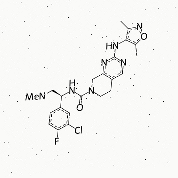 CNC[C@@H](NC(=O)N1CCc2cnc(Nc3c(C)noc3C)nc2C1)c1ccc(F)c(Cl)c1